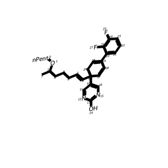 CCCCCOC(C)CCCC=CC1(c2cnc(O)nc2)C=CC(c2cccc(F)c2F)=CC1